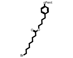 CCCCCc1ccc(CCCCOC(=O)CCCCCCCBr)cc1